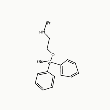 CC(C)NCCO[Si](c1ccccc1)(c1ccccc1)C(C)(C)C